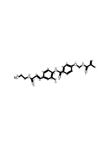 C=C(C)C(=O)OCOc1ccc(C(=O)Oc2ccc(/C=C/C(=O)OCCC#N)cc2F)cc1